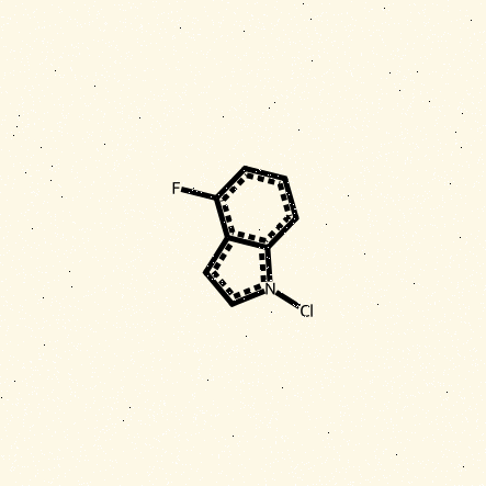 Fc1cccc2c1ccn2Cl